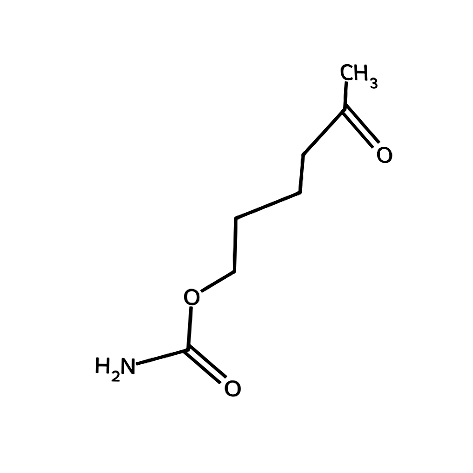 CC(=O)CCCCOC(N)=O